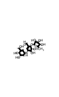 CC1O[C@@H](O[C@@H]2C(CO)=C[C@H](N[C@H]3C=C(CO)[C@@H](O)[C@H](O)C3)[C@H](O)[C@H]2O)C(O)C(O)[C@@H]1O